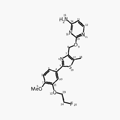 COc1ccc(-c2nc(COc3nccc(N)n3)c(C)s2)cc1OCCF